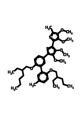 CCCCC(CC)COc1ccc(-c2sc(-c3sc(C)c(OC)c3OC)c(OC)c2OC)cc1-c1cc(C)ccc1OCC(CC)CCC